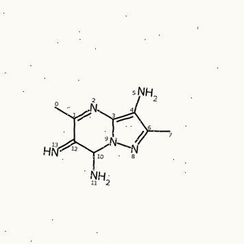 CC1=Nc2c(N)c(C)nn2C(N)C1=N